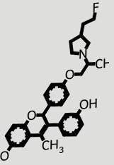 CC1=C(c2cccc(O)c2)C(c2ccc(OCC(C)N3CCC(CCF)C3)cc2)Oc2ccc(O)cc21